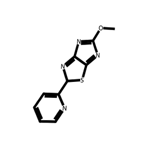 COC1=NC2=NC(c3ccccn3)SC2=N1